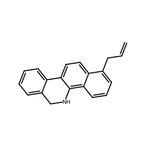 C=CCc1cccc2c3c(ccc12)-c1ccccc1CN3